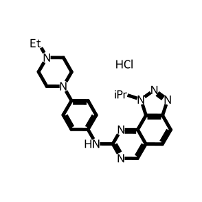 CCN1CCN(c2ccc(Nc3ncc4ccc5nnn(C(C)C)c5c4n3)cc2)CC1.Cl